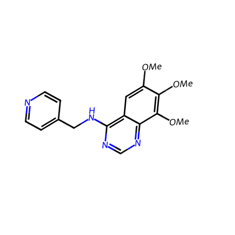 COc1cc2c(NCc3ccncc3)ncnc2c(OC)c1OC